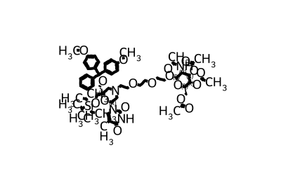 COc1ccc(C(OC[C@]2(CO[Si](C(C)C)(C(C)C)C(C)C)CN(CCOCCOCCO[C@@H]3O[C@H](COC(C)=O)[C@H](OC(C)=O)[C@H](OC(C)=O)[C@H]3NC(C)=O)C[C@H](n3cc(C)c(=O)[nH]c3=O)O2)(c2ccccc2)c2ccc(OC)cc2)cc1